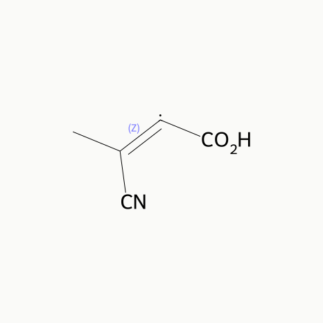 C/C(=[C]/C(=O)O)C#N